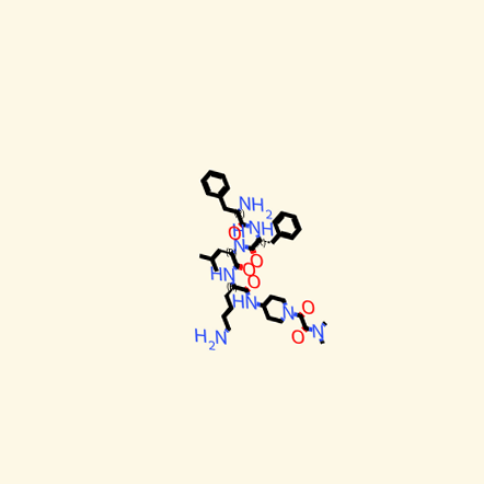 CC(C)C[C@@H](NC(=O)[C@@H](Cc1ccccc1)NC(=O)[C@H](N)Cc1ccccc1)C(=O)N[C@H](CCCCN)C(=O)NC1CCN(C(=O)C(=O)N(C)C)CC1